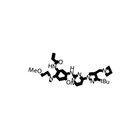 C=CC(=O)Nc1cc(Nc2nccc(-n3cc(CN4CCC4)c(C(C)(C)C)n3)n2)c(OC)cc1N(C)CCOC